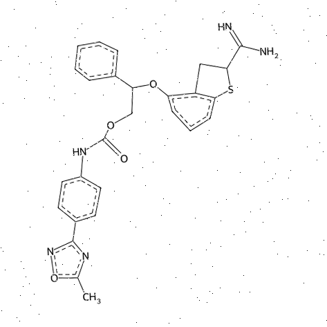 Cc1nc(-c2ccc(NC(=O)OCC(Oc3cccc4c3CC(C(=N)N)S4)c3ccccc3)cc2)no1